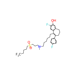 CN(CCCCCCC1=C(c2ccc(F)cc2)CCCc2cc(O)c(F)cc21)CCCS(=O)(=O)CCCCC(F)(F)F